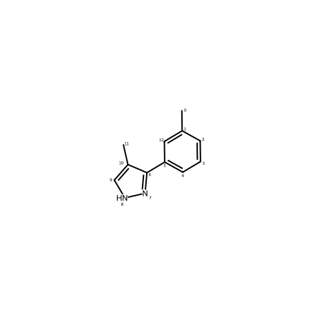 Cc1cccc(-c2n[nH]cc2C)c1